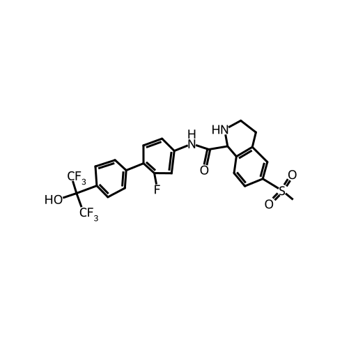 CS(=O)(=O)c1ccc2c(c1)CCNC2C(=O)Nc1ccc(-c2ccc(C(O)(C(F)(F)F)C(F)(F)F)cc2)c(F)c1